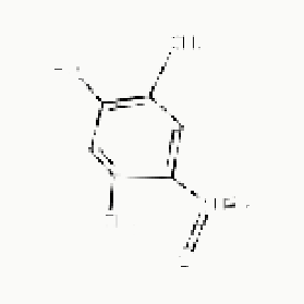 Cc1cc([SH](=O)=O)c(C)cc1O